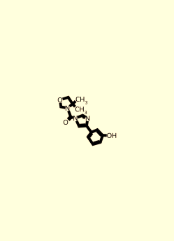 CC1(C)COCN1C(=O)n1cnc(-c2cccc(O)c2)c1